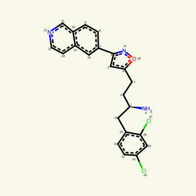 N[C@H](CCc1cc(-c2ccc3cnccc3c2)no1)Cc1ccc(Cl)cc1Cl